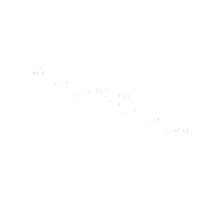 C=C.CCCCCCOCCCCCC